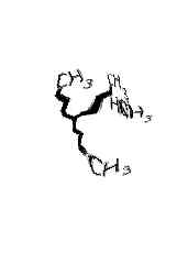 CC=CCC(CCCC)CCCC.Cl.N